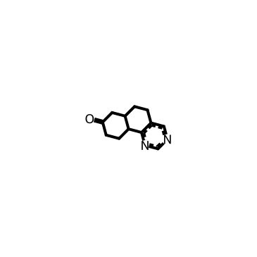 O=C1CCC2c3ncncc3CCC2C1